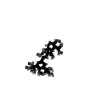 CO[C@@]1(N=Cc2cc(C(C)(C)C)c(O)c(C(C)(C)C)c2)C(=O)N2C(C(=O)O)=C(C)CS[C@H]21